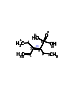 C=C/C(CC)=C(\CC)P(=O)(O)O